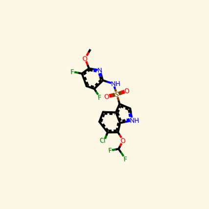 COc1nc(NS(=O)(=O)c2c[nH]c3c(OC(F)F)c(Cl)ccc23)c(F)cc1F